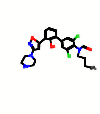 CCCCN(C=O)c1c(Cl)cc(-c2cccc(-c3cc(N4CCNCC4)no3)c2O)cc1Cl